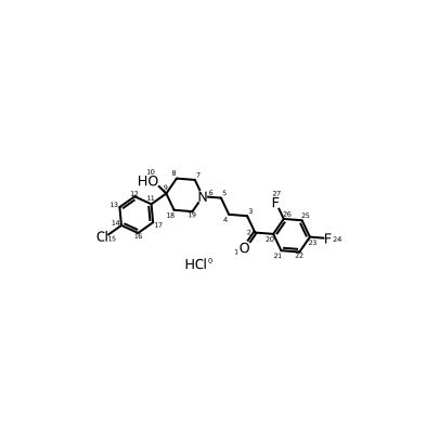 Cl.O=C(CCCN1CCC(O)(c2ccc(Cl)cc2)CC1)c1ccc(F)cc1F